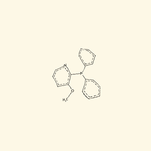 COc1cccnc1P(c1ccccc1)c1ccccc1